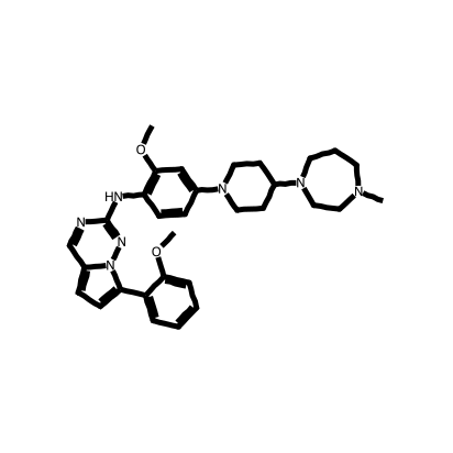 COc1cc(N2CCC(N3CCCN(C)CC3)CC2)ccc1Nc1ncc2ccc(-c3ccccc3OC)n2n1